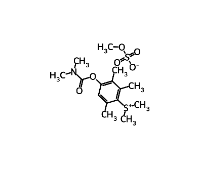 COS(=O)(=O)[O-].Cc1cc(OC(=O)N(C)C)c(C)c(C)c1[S+](C)C